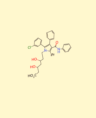 CC(C)c1c(C(=O)Nc2ccccc2)c(-c2ccccc2)c(-c2cccc(Cl)c2)n1CCC(O)CC(O)CC(=O)O